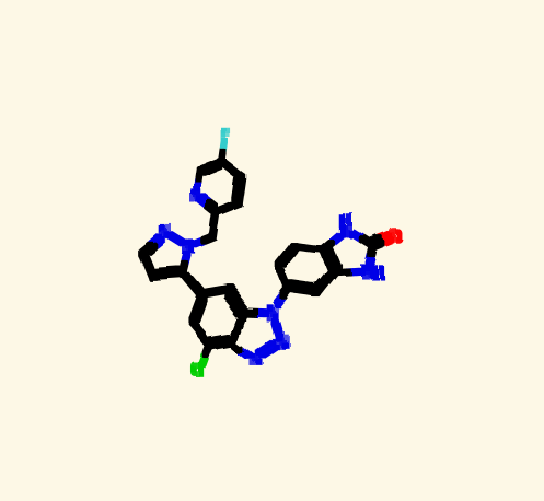 O=c1[nH]c2ccc(-n3nnc4c(Cl)cc(-c5ccnn5Cc5ccc(F)cn5)cc43)cc2[nH]1